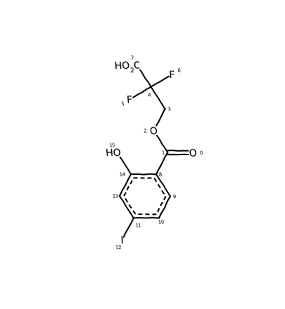 O=C(OCC(F)(F)C(=O)O)c1ccc(I)cc1O